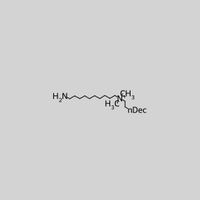 CCCCCCCCCCCC[N+](C)(C)CCCCCCCCCCN